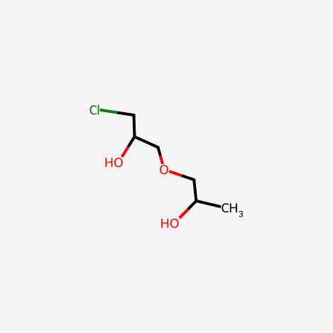 CC(O)COCC(O)CCl